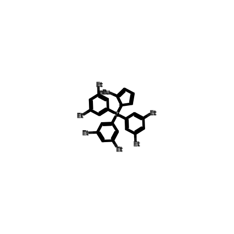 CCCCC1=CC=C[C]1[Si](c1cc(CC)cc(CC)c1)(c1cc(CC)cc(CC)c1)c1cc(CC)cc(CC)c1